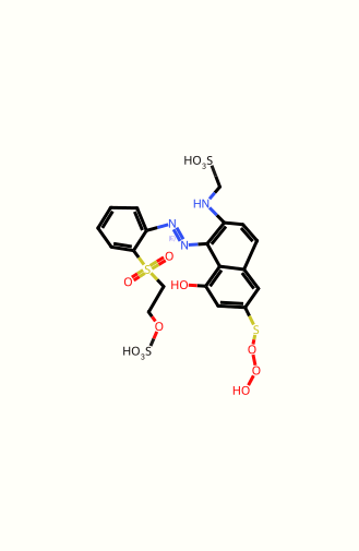 O=S(=O)(O)CNc1ccc2cc(SOOO)cc(O)c2c1/N=N/c1ccccc1S(=O)(=O)CCOS(=O)(=O)O